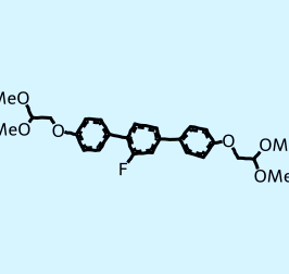 COC(COc1ccc(-c2ccc(-c3ccc(OCC(OC)OC)cc3)c(F)c2)cc1)OC